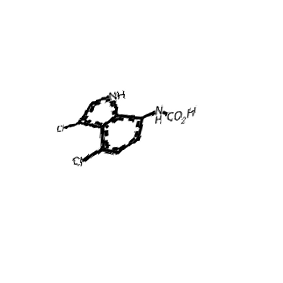 O=C(O)Nc1ccc(Cl)c2c(Cl)c[nH]c12